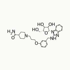 NC(=O)C1CCN(CCCOc2cccc(CNc3nc4ccccc4n3[C@@H]3O[C@H](CO)[C@@H](O)[C@H]3O)c2)CC1